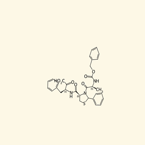 C[C@H](NC(=O)OCc1ccccc1)C(=O)N1C(c2ccccc2)SC[C@H]1C(=O)N[C@@H](Cc1ccccc1)C(=O)C(=O)O